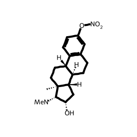 CN[C@H]1[C@@H](O)C[C@H]2[C@@H]3CCc4cc(O[N+](=O)[O-])ccc4[C@H]3CC[C@@]21C